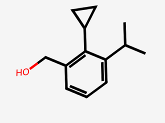 CC(C)c1cccc(CO)c1C1CC1